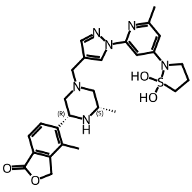 Cc1cc(N2CCCS2(O)O)cc(-n2cc(CN3C[C@@H](c4ccc5c(c4C)COC5=O)N[C@@H](C)C3)cn2)n1